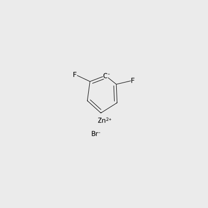 Fc1[c-]c(F)ccc1.[Br-].[Zn+2]